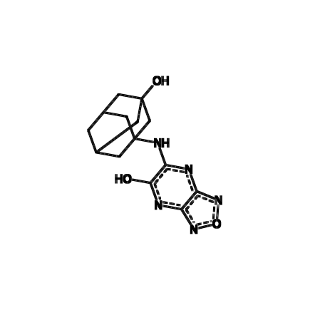 Oc1nc2nonc2nc1NC12CC3CC(CC(O)(C3)C1)C2